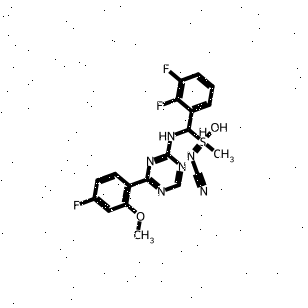 COc1cc(F)ccc1-c1ncnc(NC(c2cccc(F)c2F)[SH](C)(O)=NC#N)n1